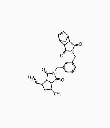 C=CC1CC(C)C2C(=O)N(Cc3cccc(CN4C(=O)C5C6C=CC(C6)C5C4=O)c3)C(=O)C12